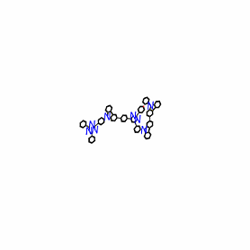 c1ccc(-c2nc(-c3ccc(-c4ccc5c(c4)c4ccccc4n5-c4ccc(-c5nc(-c6ccccc6)nc(-c6ccccc6)n5)cc4)cc3)cc(-c3cccc(-n4c5ccccc5c5ccc(-c6ccc7c(c6)c6ccccc6n7-c6ccccc6)cc54)c3)n2)cc1